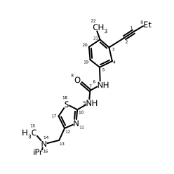 CCC#Cc1cc(NC(=O)Nc2nc(CN(C)C(C)C)cs2)ccc1C